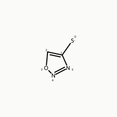 [S]c1conn1